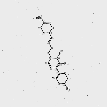 CCCCC1=CCC(/C=C/CCc2ccc(C3=CCC(CC)CC3)c(F)c2F)CC1